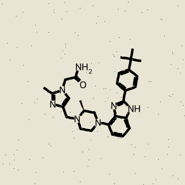 Cc1nc(CN2CCN(c3cccc4[nH]c(-c5ccc(C(C)(C)C)cc5)nc34)C[C@@H]2C)cn1CC(N)=O